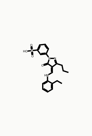 CCCC1=NN(c2cccc(S(=O)(=O)O)c2)C(=O)C1=CNc1ccccc1CC